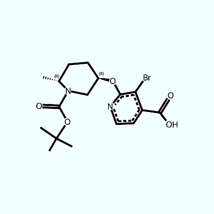 C[C@@H]1CC[C@@H](Oc2nccc(C(=O)O)c2Br)CN1C(=O)OC(C)(C)C